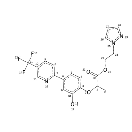 CC(Oc1ccc(-c2ccc(C(F)(F)F)cn2)cc1O)C(=O)OCCn1cccn1